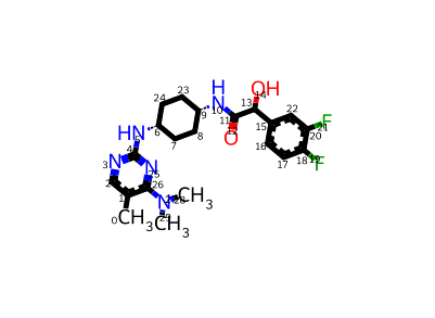 Cc1cnc(N[C@H]2CC[C@@H](NC(=O)C(O)c3ccc(F)c(F)c3)CC2)nc1N(C)C